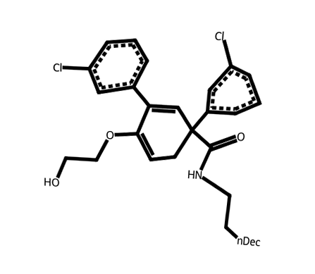 CCCCCCCCCCCCNC(=O)C1(c2cccc(Cl)c2)C=C(c2cccc(Cl)c2)C(OCCO)=CC1